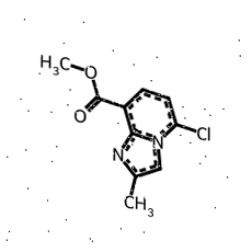 COC(=O)c1ccc(Cl)n2cc(C)nc12